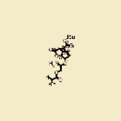 CCC(I)C(=O)OCC(N)OC1C2CC3C1OC(=O)C3C2C(=O)OC(C)(C)C